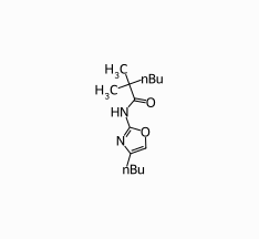 CCCCc1coc(NC(=O)C(C)(C)CCCC)n1